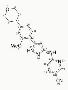 COc1cc(C2CCOCC2)ccc1-c1cc(Nc2cnc(C#N)cn2)n[nH]1